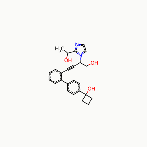 CC(O)c1nccn1C(C#Cc1ccccc1-c1ccc(C2(O)CCC2)cc1)CO